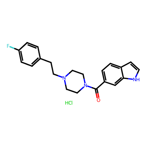 Cl.O=C(c1ccc2cc[nH]c2c1)N1CCN(CCc2ccc(F)cc2)CC1